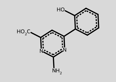 Nc1nc(C(=O)O)cc(-c2ccccc2O)n1